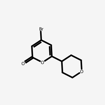 O=c1cc(Br)cc(C2CCOCC2)o1